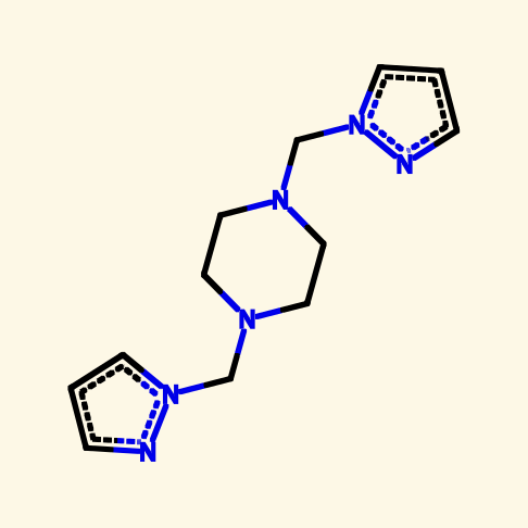 c1cnn(CN2CCN(Cn3cccn3)CC2)c1